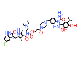 CCN(CC)CCN(C(=O)OCCC(=O)N1CCN(Cc2ccc(N(C(=N)c3cc(C(C)C)c(O)cc3O)C(N)=O)cc2)CC1)C(=O)c1c(C)[nH]c(/C=C2\C(=O)Nc3ccc(F)cc32)c1C